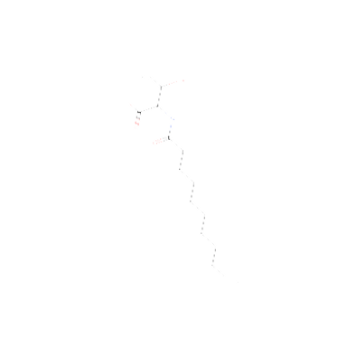 CCCCCCCCCC(=O)NC(C(=O)O)C(C)O